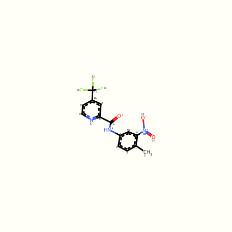 Cc1ccc(NC(=O)c2cc(C(F)(F)F)ccn2)cc1[N+](=O)[O-]